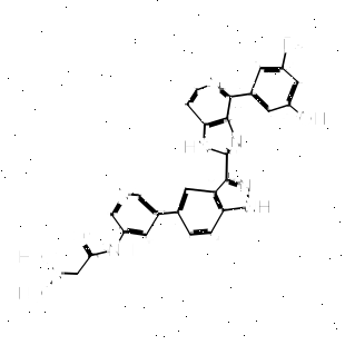 CN(C)CC(=O)Nc1cncc(-c2ccc3[nH]nc(-c4nc5c(-c6cc(O)cc(F)c6)nccc5[nH]4)c3c2)c1